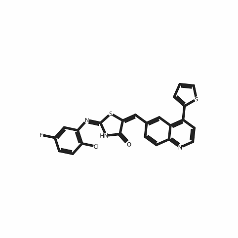 O=C1N/C(=N\c2cc(F)ccc2Cl)S/C1=C/c1ccc2nccc(-c3cccs3)c2c1